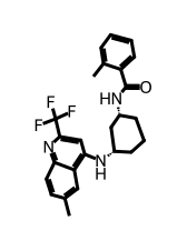 Cc1ccc2nc(C(F)(F)F)cc(N[C@H]3CCC[C@@H](NC(=O)c4ccccc4C)C3)c2c1